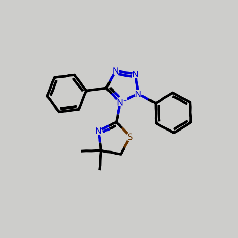 CC1(C)CSC([n+]2c(-c3ccccc3)nnn2-c2ccccc2)=N1